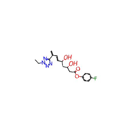 C=C(C=CC(O)CC(O)CC(=O)Oc1ccc(F)cc1)c1nnn(CC)n1